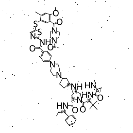 CC[C@@H](NC(=O)[C@@H]1C[C@H](N[C@@H]2CCC(N3CCN(c4ccc(C(=O)Nc5ncc(Sc6cc(C(=O)N7CCN(C(C)=O)CC7)c(OC)cc6C)s5)cc4)CC3)C2)CN1C(=O)[C@@H](NC(=O)[C@H](C)NC)C(C)(C)C)c1ccccc1